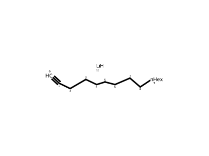 C#CCCCCCCCCCCCCC.[LiH]